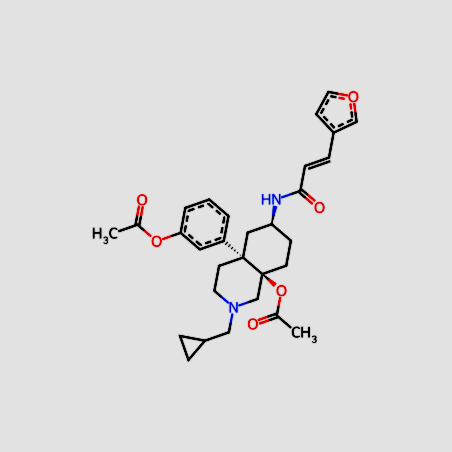 CC(=O)Oc1cccc([C@@]23CCN(CC4CC4)C[C@@]2(OC(C)=O)CC[C@H](NC(=O)C=Cc2ccoc2)C3)c1